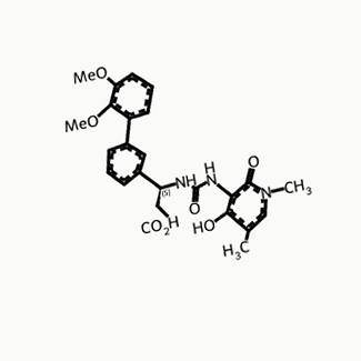 COc1cccc(-c2cccc([C@H](CC(=O)O)NC(=O)Nc3c(O)c(C)cn(C)c3=O)c2)c1OC